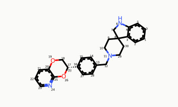 c1ccc2c(c1)NCC21CCN(Cc2ccc([C@H]3COc4cccnc4O3)cc2)CC1